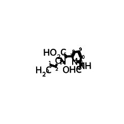 C=CCON=C(C(=O)O)c1cccc(NC=O)n1